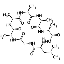 CC(C)C[C@H](N)C(=O)NCC(=O)N[C@@H](C)C(=O)N[C@@H](C)C(=O)N[C@@H](C)C(=O)N[C@@H](C)C(=O)N[C@@H](C)C(=O)O